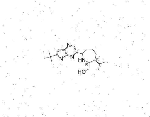 CC(C)[C@@H]1CCCC(c2cnc3cc(C(C)(C)C)n(C)c3n2)N[C@H]1CO